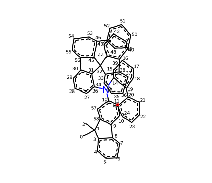 CC1(C)c2ccccc2-c2ccc(N(c3ccccc3-c3ccccc3)c3cccc4c3C3(c5ccccc5-c5ccccc53)c3c(-c5ccccc5)cccc3-4)cc21